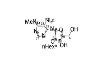 CCCCCCO[C@@H]1[C@H](O)[C@@H](CO)O[C@H]1n1cnc2c(NC)ncnc21